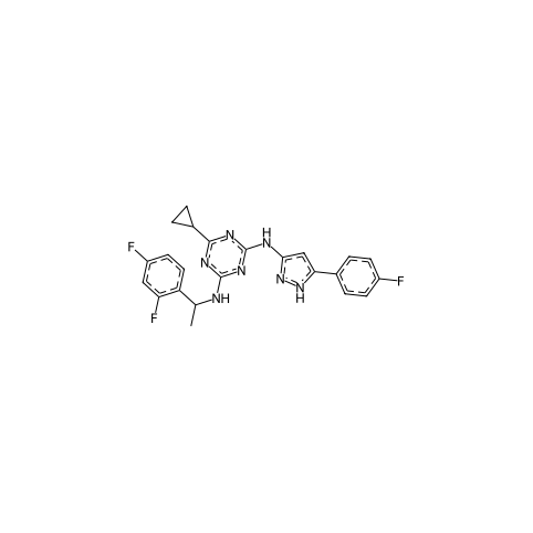 CC(Nc1nc(Nc2cc(-c3ccc(F)cc3)[nH]n2)nc(C2CC2)n1)c1ccc(F)cc1F